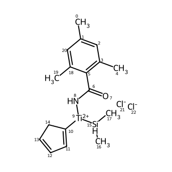 Cc1cc(C)c(C(=O)[NH][Ti+2]([C]2=CC=CC2)[SiH](C)C)c(C)c1.[Cl-].[Cl-]